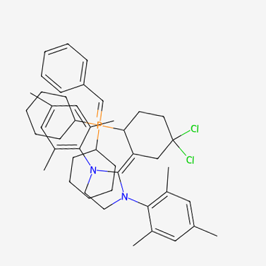 Cc1cc(C)c(N2CCN(c3c(C)cc(C)cc3C)C2=C2CC(Cl)(Cl)CCC2P(=Cc2ccccc2)(C2CCCCC2)C2CCCCC2)c(C)c1